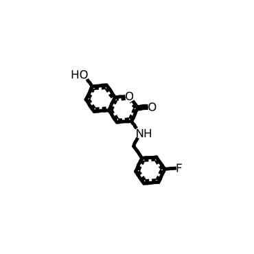 O=c1oc2cc(O)ccc2cc1NCc1cccc(F)c1